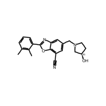 Cc1cccc(-c2nc3cc(CN4CC[C@@H](O)C4)cc(C#N)c3o2)c1C